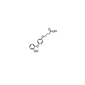 O=C(O)CCCOc1ccc(Oc2ccccc2O)cc1